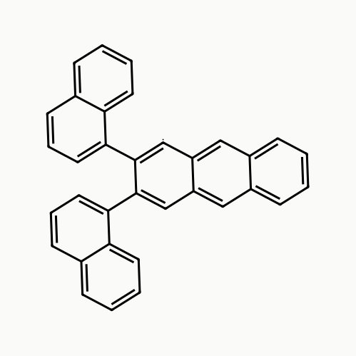 [c]1c(-c2cccc3ccccc23)c(-c2cccc3ccccc23)cc2cc3ccccc3cc12